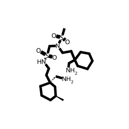 C[C@H]1CCC[C@@](CN)(CCNS(=O)(=O)CN(CCC2(CN)CCCCC2)S(C)(=O)=O)C1